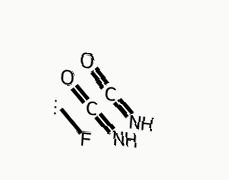 N=C=O.N=C=O.[C]F